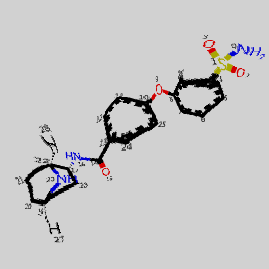 NS(=O)(=O)c1cccc(Oc2ccc(C(=O)N[C@@H]3C[C@H]4CC[C@@H]3N4)cc2)c1